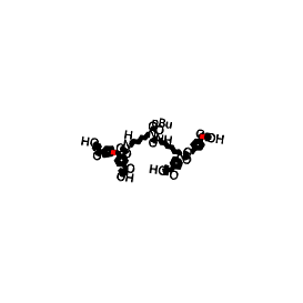 CCCCOC(=O)N(CCCCCCNC(=O)OC(c1ccc(C(=O)C(C)(C)O)cc1)c1ccc(C(=O)C(C)(C)O)cc1)C(=O)NCCCCCCN(C(=O)OCc1ccc(C(=O)C(C)(C)O)cc1)c1ccc(C(=O)C(C)(C)O)cc1